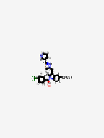 COc1ccc2c(c1)c(Cc1csc(-c3cccnc3)n1)c(C)n2C(=O)c1ccc(Cl)cc1